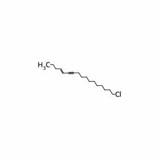 CCCC=CC#CCCCCCCCCCCCl